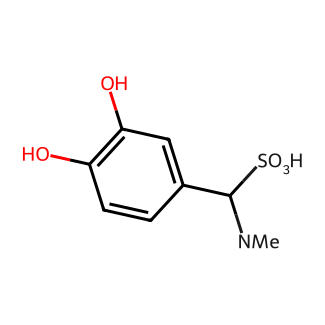 CNC(c1ccc(O)c(O)c1)S(=O)(=O)O